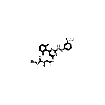 Cc1cccc(C)c1-c1cc(O[C@H](C)CNC(=O)OC(C)(C)C)nc(NSc2cccc(C(=O)O)c2)n1